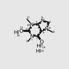 Cn1c(=O)c2c(ncn2C)n(C)c1=O.I.I.I